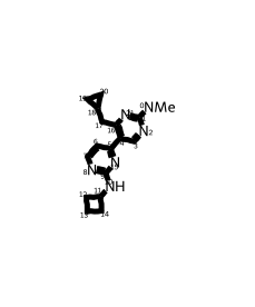 CNc1ncc(-c2ccnc(NC3CCC3)n2)c(CC2CC2)n1